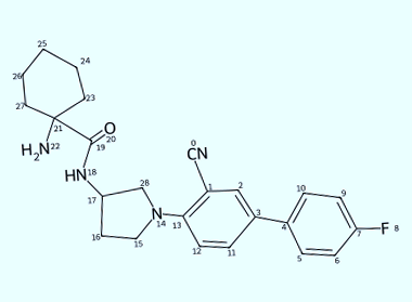 N#Cc1cc(-c2ccc(F)cc2)ccc1N1CCC(NC(=O)C2(N)CCCCC2)C1